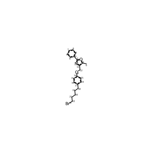 Cc1oc(-c2ccccc2)nc1COc1ccc(CCCCCBr)cc1